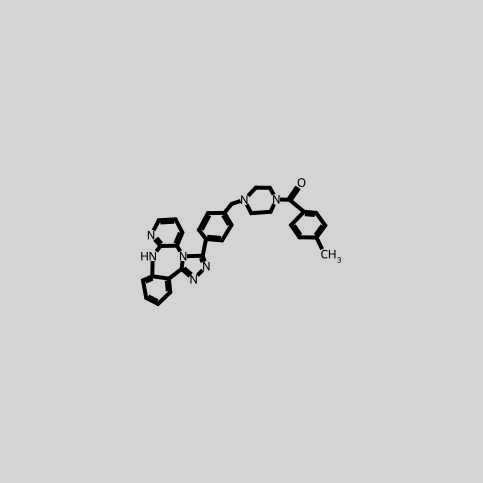 Cc1ccc(C(=O)N2CCN(Cc3ccc(-c4nnc5n4-c4cccnc4Nc4ccccc4-5)cc3)CC2)cc1